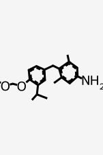 COCOc1ccc(Cc2c(C)cc(N)cc2C)cc1C(C)C